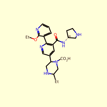 CCOc1ncccc1-c1ncc(C2CNC(CC)CN2C(=O)O)cc1C(=O)N[C@@H]1CCNC1